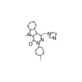 Cc1ccc(-n2nc(Cn3ccnc3)c3c4ccccc4n(C)c3c2=O)cc1